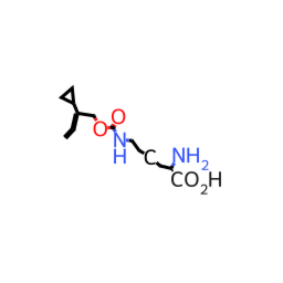 C=C=C(COC(=O)NCCCC[C@H](N)C(=O)O)C1CC1